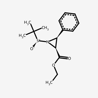 CCOC(=O)[C@@H]1[C@H](c2ccccc2)N1[S@@+]([O-])C(C)(C)C